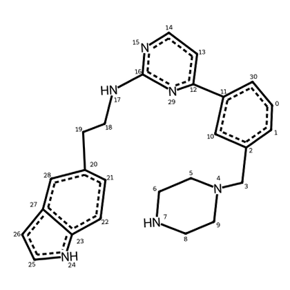 c1cc(CN2CCNCC2)cc(-c2ccnc(NCCc3ccc4[nH]ccc4c3)n2)c1